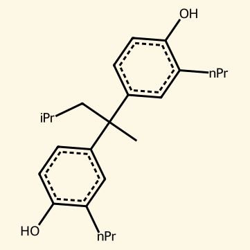 CCCc1cc(C(C)(CC(C)C)c2ccc(O)c(CCC)c2)ccc1O